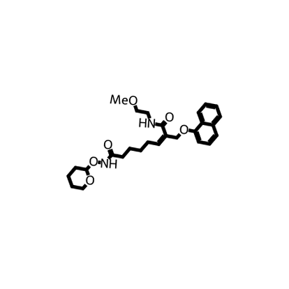 COCCNC(=O)C(=CCCCCC(=O)NOC1CCCCO1)COc1cccc2ccccc12